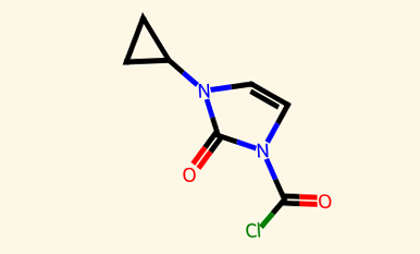 O=C(Cl)n1ccn(C2CC2)c1=O